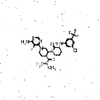 CN(C)C(=O)[C@H]1CCN(c2ncnc(N)c2F)CC1N1CCC[C@@H](Nc2cc(Cl)cc(C(F)(F)F)c2)C1=O